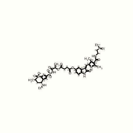 CCN[C@@H]1C[C@@H](C)S(=O)(=O)c2sc(S(=O)(=O)NC(=O)C(C)OC(=O)CCC(=O)Oc3ccc4c(c3)/C(=C/c3[nH]c(C)c(C(=O)NCCN(CC)CC)c3C)C(=O)N4)cc21